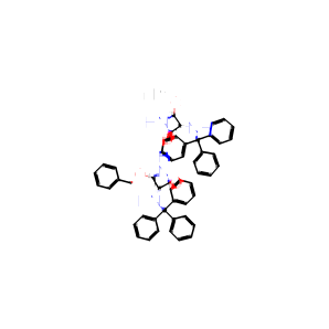 CCCO[C@@H]1NC(=O)[C@H]1NC(c1ccccc1)(c1ccccc1)c1ccccc1.O=C1N[C@H](OCc2ccccc2)[C@@H]1NC(c1ccccc1)(c1ccccc1)c1ccccc1